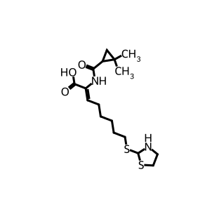 CC1(C)CC1C(=O)N/C(=C\CCCCCSC1NCCS1)C(=O)O